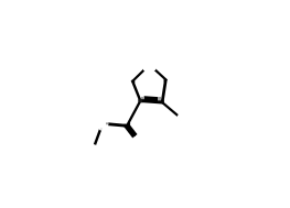 COC(=O)C1=C(O)COC1